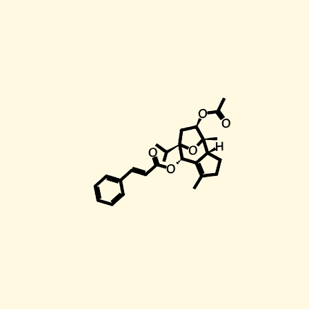 CC(=O)O[C@@H]1C[C@]2(C(C)C)O[C@@]1(C)[C@@H]1CCC(C)=C1[C@@H]2OC(=O)/C=C/c1ccccc1